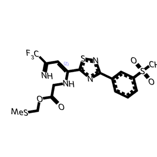 CSCOC(=O)CN/C(=C\C(=N)C(F)(F)F)c1nc(-c2cccc(S(C)(=O)=O)c2)ns1